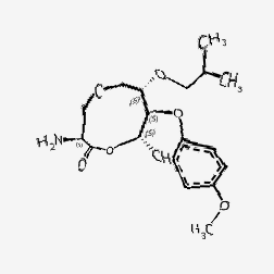 COc1ccc(O[C@H]2[C@H](C)OC(=O)[C@@H](N)CCC[C@@H]2OCC(C)C)cc1